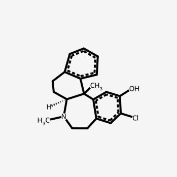 CN1CCc2cc(Cl)c(O)cc2C2(C)c3ccccc3CC[C@H]12